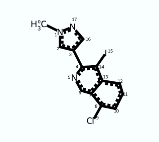 Cn1cc(-c2ncc3c(Cl)cccc3c2I)cn1